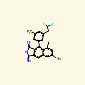 Cc1cc(C(C)(C)C)cc2cc3c(c(-c4cc(CC(F)F)cc(C(F)(F)F)c4)c12)C(=N)NC3=N